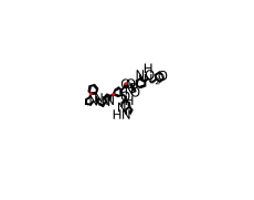 O=C(NS(=O)(=O)c1ccc(NCC2CCOCC2)c([N+](=O)[O-])c1)c1ccc(-c2cc3nc(N4CCCC4c4ccccc4)ccn3n2)cc1Oc1cnc2[nH]ccc2c1